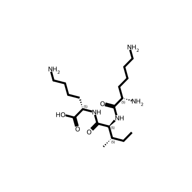 CC[C@H](C)[C@H](NC(=O)[C@@H](N)CCCCN)C(=O)N[C@@H](CCCCN)C(=O)O